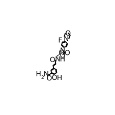 NC(=O)c1cc(/C=C/C(=O)NC[C@H]2CN(c3ccc(N4CCOCC4)c(F)c3)C(=O)O2)ccc1O